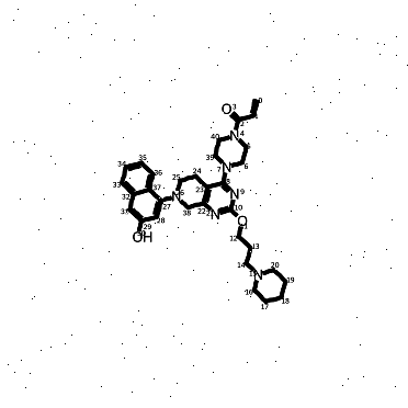 C=CC(=O)N1CCN(c2nc(OCCCN3CCCCC3)nc3c2CCN(c2cc(O)cc4ccccc24)C3)CC1